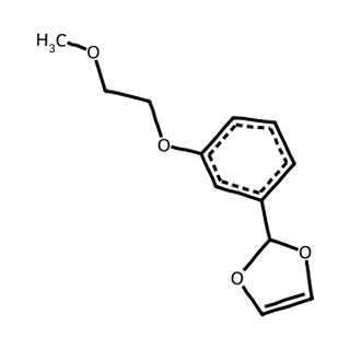 COCCOc1cccc(C2OC=CO2)c1